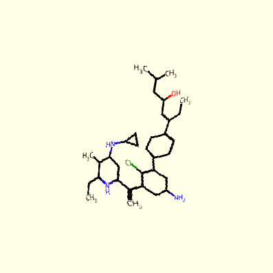 C=C(C1CC(NC2CC2)C(C)C(CC)N1)C1CC(N)CC(C2CCC(C(CC)CC(O)CC(C)C)CC2)C1Cl